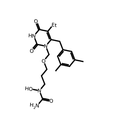 CCc1c(Cc2cc(C)cc(C)c2)n(COCCCN(O)C(N)=O)c(=O)[nH]c1=O